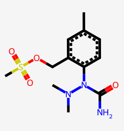 Cc1ccc(N(C(N)=O)N(C)C)c(COS(C)(=O)=O)c1